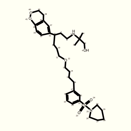 CC(C)(CO)NCCC(CCCOCCCCc1cccc(S(=O)(=O)N2CCCCC2)c1)c1ccc2c(c1)CCOO2